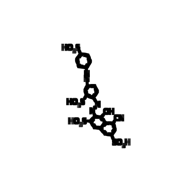 N#Cc1cc(S(=O)(=O)O)cc2cc(S(=O)(=O)O)c(/N=N/c3ccc(/N=N/c4ccc(S(=O)(=O)O)cc4)cc3S(=O)(=O)O)c(O)c12